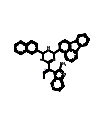 C/C=C(/C1=NC(c2ccc3c4c(cccc24)-c2ccccc2-3)NC(c2ccc3ccccc3c2)N1)c1c(N)oc2ccccc12